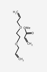 C=CC(=O)OC.C=CCOCCOCC=C